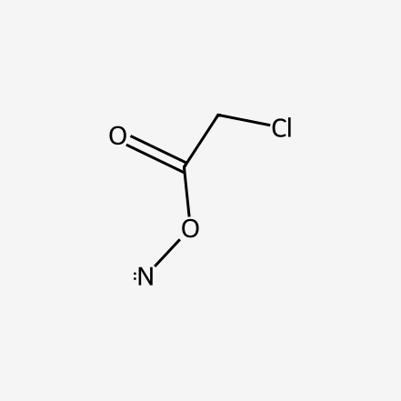 [N]OC(=O)CCl